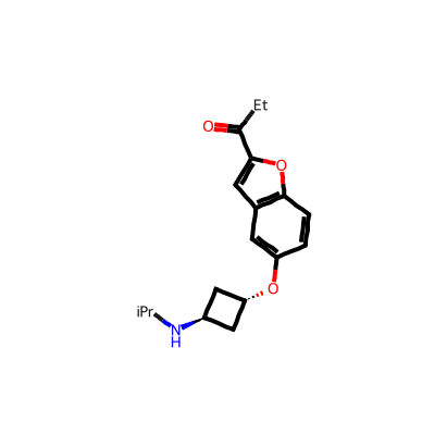 CCC(=O)c1cc2cc(O[C@H]3C[C@H](NC(C)C)C3)ccc2o1